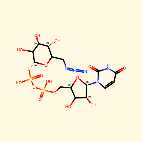 [N-]=[N+]=NCC1O[C@H](OP(=O)(O)OP(=O)(O)OC[C@H]2O[C@@H](n3ccc(=O)[nH]c3=O)[C@@H](O)C2O)C(O)[C@@H](O)[C@@H]1O